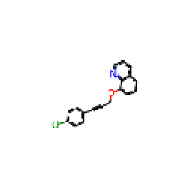 Clc1ccc(C#CCOc2cccc3cccnc23)cc1